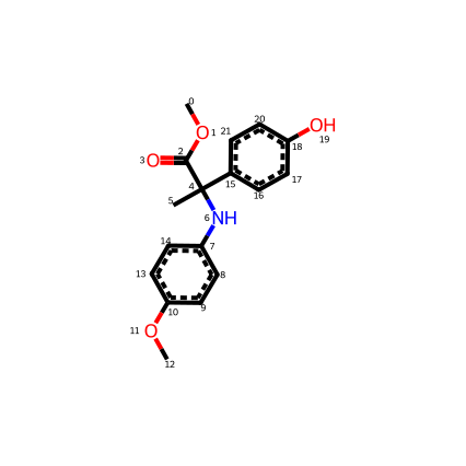 COC(=O)C(C)(Nc1ccc(OC)cc1)c1ccc(O)cc1